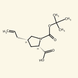 C=CC[C@H]1C[C@@H](C(=O)O)N(C(=O)OC(C)(C)C)C1